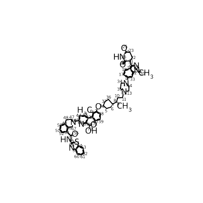 Cc1c(O[C@H]2CC[C@H]([C@@H](C)CCN3CCN(c4ccc5c(C6CCC(=O)NC6=O)nn(C)c5c4)CC3)CC2)cccc1-c1ccc(N2CCc3cccc(C(=O)Nc4nc5ccccc5s4)c3C2)nc1C(=O)O